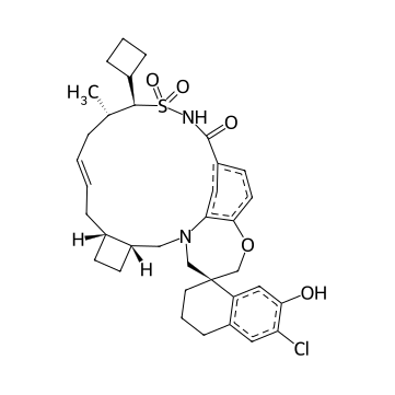 C[C@H]1C/C=C/C[C@H]2CC[C@H]2CN2C[C@@]3(CCCc4cc(Cl)c(O)cc43)COc3ccc(cc32)C(=O)NS(=O)(=O)[C@@H]1C1CCC1